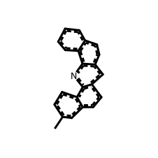 Cc1ccc2c(ccc3cc4ccc5ccccc5c4nc32)c1